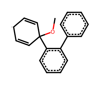 COC1(c2ccccc2-c2ccccc2)C=C[CH]C=C1